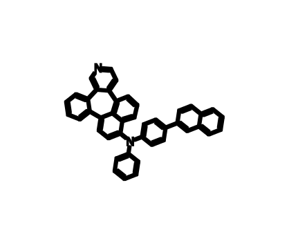 c1ccc(N(c2ccc(-c3ccc4ccccc4c3)cc2)c2ccc3c4c(cccc24)-c2ccncc2-c2ccccc2-3)cc1